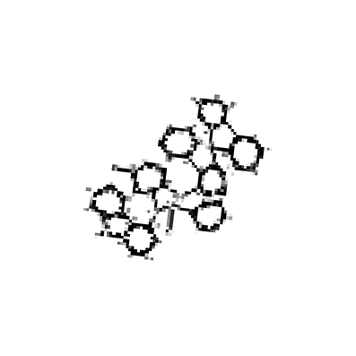 O=P1(c2ccccc2)N(c2cccc3c2-c2ccccc2C32c3ccccc3-c3ccccc32)c2ccc(Br)cc2N1c1cccc2oc3ccccc3c12